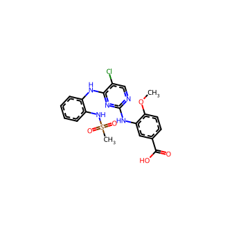 COc1ccc(C(=O)O)cc1Nc1ncc(Cl)c(Nc2ccccc2NS(C)(=O)=O)n1